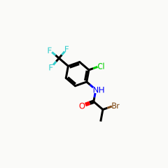 CC(Br)C(=O)Nc1ccc(C(F)(F)F)cc1Cl